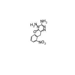 Nc1nnc(Cc2ccccc2[N+](=O)[O-])c(=O)n1N